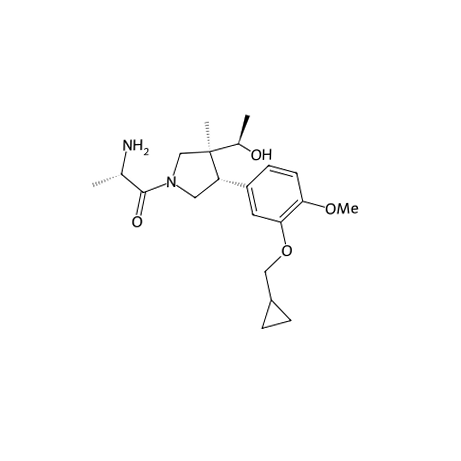 COc1ccc([C@@H]2CN(C(=O)[C@H](C)N)C[C@@]2(C)[C@@H](C)O)cc1OCC1CC1